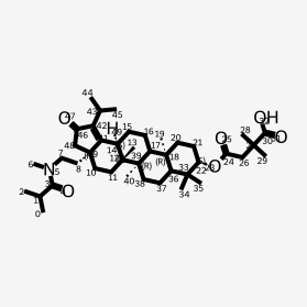 CC(C)C(=O)N(C)CC[C@@]12CC[C@]3(C)[C@H](CCC4[C@@]5(C)CC[C@H](OC(=O)CC(C)(C)C(=O)O)C(C)(C)C5CC[C@]43C)C1=C(C(C)C)C(=O)C2